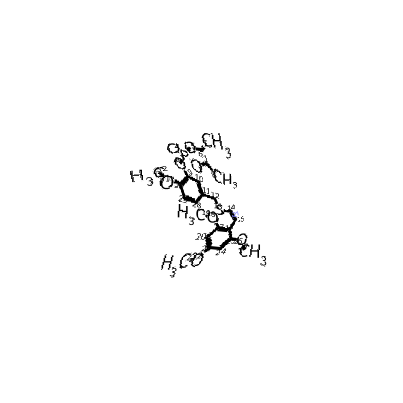 CCOP(=O)(OCC)Oc1cc(CS/C=C\c2c(OC)cc(OC)cc2OC)ccc1OC